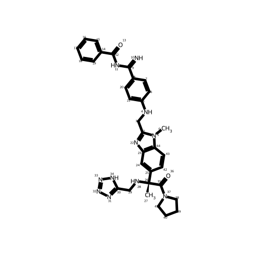 Cn1c(CNc2ccc(C(=N)NC(=O)c3ccccc3)cc2)nc2cc([C@@](C)(NCc3nnn[nH]3)C(=O)N3CCCC3)ccc21